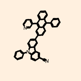 N#Cc1ccc2c(c1)c1cc(-c3ccc4c(-c5ccccc5)c5ccccc5c(-c5cccnc5)c4c3)ccc1n2-c1ccccc1